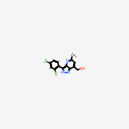 Cc1cc(CO)c2n[nH]c(-c3ccc(Cl)cc3Cl)c2n1